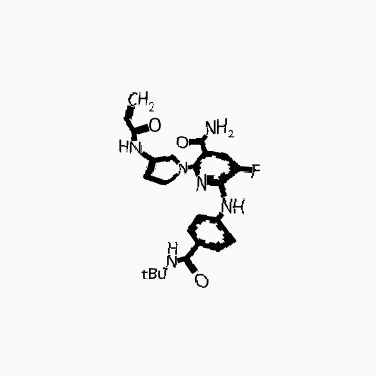 C=CC(=O)NC1CCN(c2nc(Nc3ccc(C(=O)NC(C)(C)C)cc3)c(F)cc2C(N)=O)C1